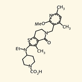 CCN(c1sc2c(c1C)C(=O)N(Cc1c(C)cc(C)nc1OC)CC2)C1CCN(C(=O)O)CC1